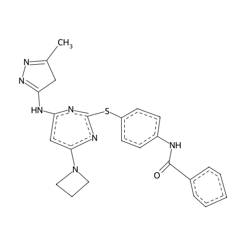 CC1=NN=C(Nc2cc(N3CCC3)nc(Sc3ccc(NC(=O)c4ccccc4)cc3)n2)C1